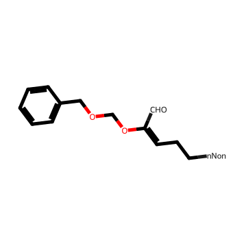 CCCCCCCCCCC/C=C(\C=O)OCOCc1ccccc1